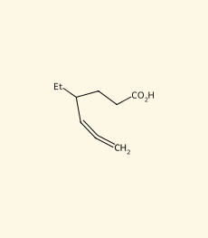 C=C=CC(CC)CCC(=O)O